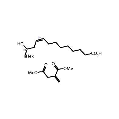 C=C(CC(=O)OC)C(=O)OC.CCCCCC[C@@H](O)C/C=C\CCCCCCCC(=O)O